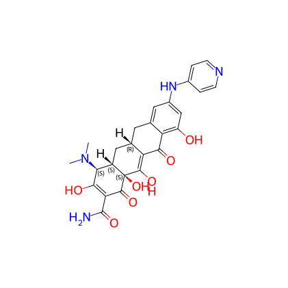 CN(C)[C@@H]1C(O)=C(C(N)=O)C(=O)[C@@]2(O)C(O)=C3C(=O)c4c(O)cc(Nc5ccncc5)cc4C[C@H]3C[C@@H]12